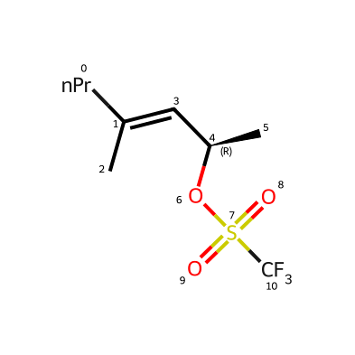 CCCC(C)=C[C@@H](C)OS(=O)(=O)C(F)(F)F